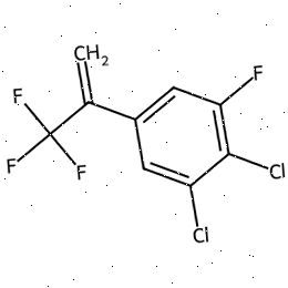 C=C(c1cc(F)c(Cl)c(Cl)c1)C(F)(F)F